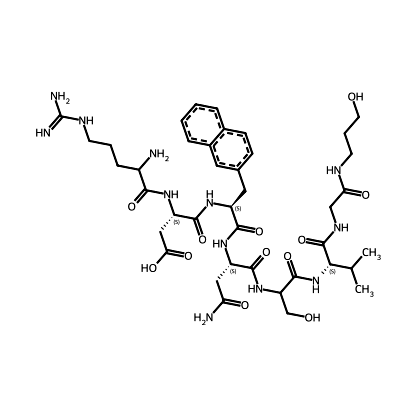 CC(C)[C@H](NC(=O)C(CO)NC(=O)[C@H](CC(N)=O)NC(=O)[C@H](Cc1ccc2ccccc2c1)NC(=O)[C@H](CC(=O)O)NC(=O)C(N)CCCNC(=N)N)C(=O)NCC(=O)NCCCO